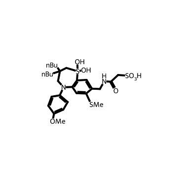 CCCCC1(CCCC)CN(c2ccc(OC)cc2)c2cc(SC)c(CNC(=O)CS(=O)(=O)O)cc2S(O)(O)C1